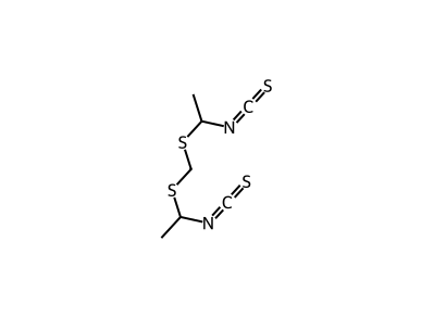 CC(N=C=S)SCSC(C)N=C=S